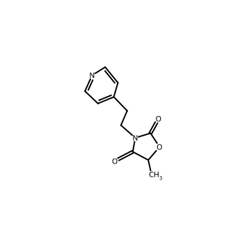 CC1OC(=O)N(CCc2ccncc2)C1=O